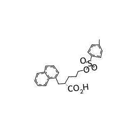 Cc1ccc(S(=O)(=O)OCCC[C@@H](Cc2cccc3ccccc23)C(=O)O)cc1